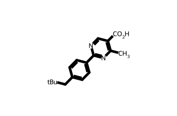 Cc1nc(-c2ccc(CC(C)(C)C)cc2)ncc1C(=O)O